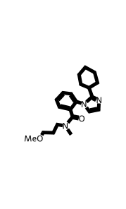 COCCCN(C)C(=O)c1ccccc1-n1ccnc1C1CCCCC1